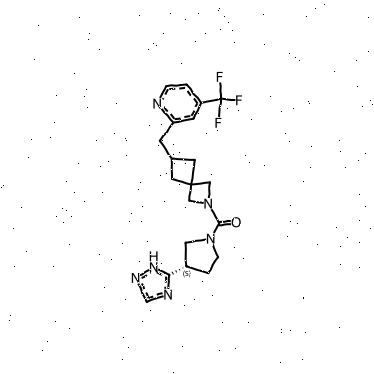 O=C(N1CC[C@H](c2ncn[nH]2)C1)N1CC2(CC(Cc3cc(C(F)(F)F)ccn3)C2)C1